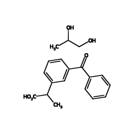 CC(C(=O)O)c1cccc(C(=O)c2ccccc2)c1.CC(O)CO